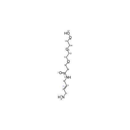 NC/C=C/CNC(=O)CCOCCOCCOO